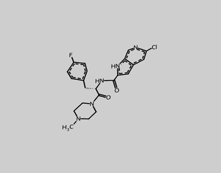 CN1CCN(C(=O)[C@H](Cc2ccc(F)cc2)NC(=O)c2cc3cc(Cl)ncc3[nH]2)CC1